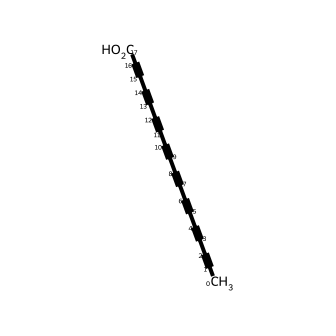 CC#CC#CC#CC#CC#CC#CC#CC#CC(=O)O